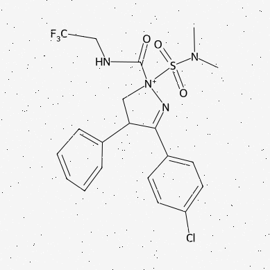 CN(C)S(=O)(=O)[N+]1(C(=O)NCC(F)(F)F)CC(c2ccccc2)C(c2ccc(Cl)cc2)=N1